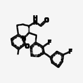 Cc1ccc2n(c1=O)C(Cc1cccc(-c3cccc(F)c3)c1F)C(NC=O)CC2